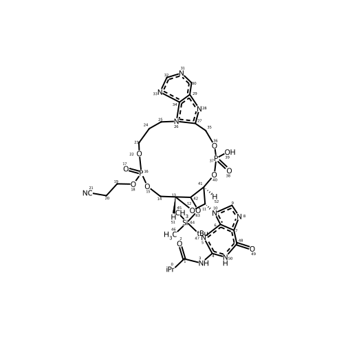 CC(C)C(=O)Nc1nc2c(ncn2[C@@H]2O[C@@H]3COP(=O)(OCCC#N)OCCCn4c(nc5cncnc54)COP(=O)(O)O[C@@H]2C3O[Si](C)(C)C(C)(C)C)c(=O)[nH]1